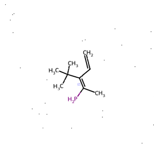 C=C/C(=C(\C)P)C(C)(C)C